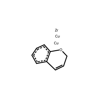 C1=Cc2ccccc2OC1.[Cu].[Cu].[Zr]